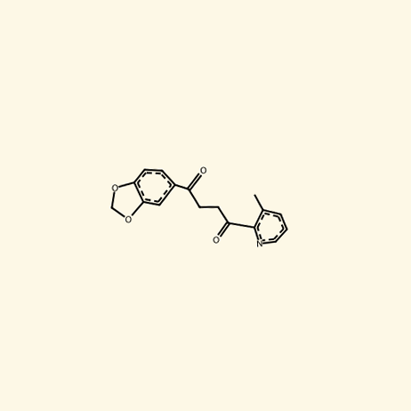 Cc1cccnc1C(=O)CCC(=O)c1ccc2c(c1)OCO2